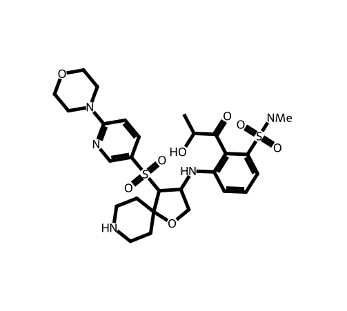 CNS(=O)(=O)c1cccc(NC2COC3(CCNCC3)C2S(=O)(=O)c2ccc(N3CCOCC3)nc2)c1C(=O)C(C)O